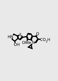 COc1c(-c2cc3c(s2)CNCC3O)ccc2c(=O)c(C(=O)O)cn(C3CC3)c12